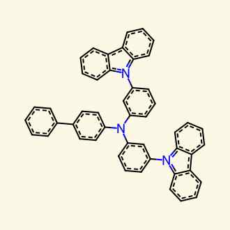 c1ccc(-c2ccc(N(c3cccc(-n4c5ccccc5c5ccccc54)c3)c3cccc(-n4c5ccccc5c5ccccc54)c3)cc2)cc1